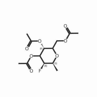 CC(=O)OCC1O[C@@H](C)[C@@H](F)C(OC(C)=O)[C@@H]1OC(C)=O